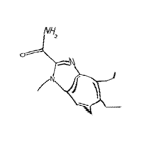 Cc1ccc2c(nc(C(N)=O)n2C)c1C